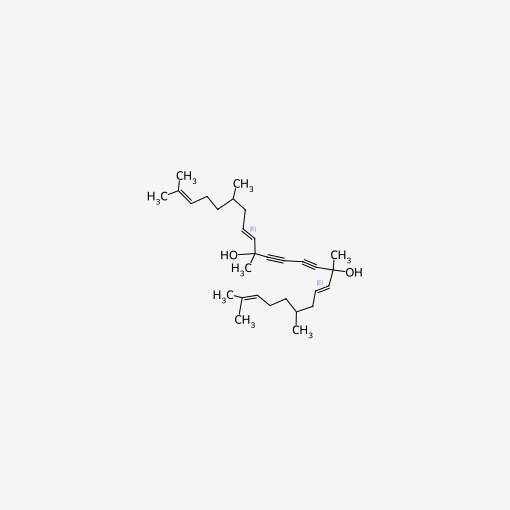 CC(C)=CCCC(C)C/C=C/C(C)(O)C#CC#CC(C)(O)/C=C/CC(C)CCC=C(C)C